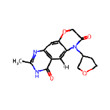 [2H]c1c2c(cc3nc(C)[nH]c(=O)c13)OCC(=O)N2C1CCOC1